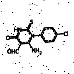 Nc1c(C=O)c(=O)[nH]c(=S)n1-c1ccc(Cl)cc1